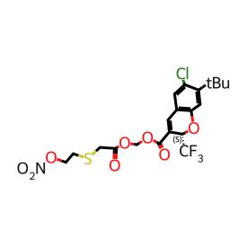 CC(C)(C)c1cc2c(cc1Cl)C=C(C(=O)OCOC(=O)CSCCO[N+](=O)[O-])[C@@H](C(F)(F)F)O2